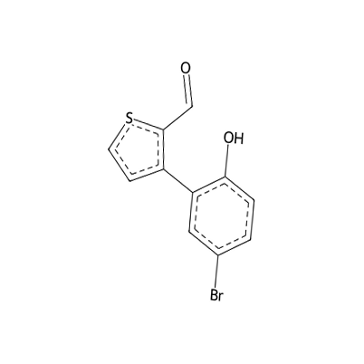 O=Cc1sccc1-c1cc(Br)ccc1O